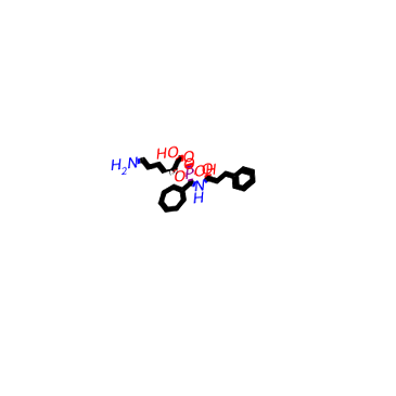 NCCCC[C@H](OP(=O)(O)C(NC(=O)CCc1ccccc1)C1CCCCCC1)C(=O)O